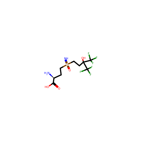 N=S(=O)(CC[C@H](N)C(=O)O)CCC(O)(C(F)(F)F)C(F)(F)F